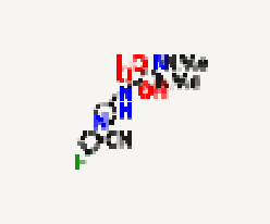 CN/N=C(\NC)[C@H](O)[C@@H](O)C(=O)NCC1CCN(c2ccc(F)cc2C#N)CC1